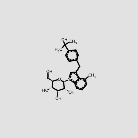 Cc1cccc2c1c(Cc1ccc(C(C)(C)O)cc1)cn2[C@@H]1O[C@H](CO)[C@@H](O)[C@H](O)[C@H]1O